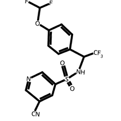 N#Cc1cncc(S(=O)(=O)NC(c2ccc(OC(F)F)cc2)C(F)(F)F)c1